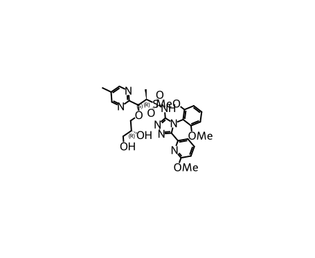 COc1cccc(-c2nnc(NS(=O)(=O)[C@H](C)[C@@H](OC[C@H](O)CO)c3ncc(C)cn3)n2-c2c(OC)cccc2OC)n1